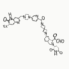 CCc1cc2ncc(CN3CCN(c4ccc(C(=O)N5CC6(C5)CN(c5ccc7c(c5)C(C(=O)C=O)N(C5CCC(=O)NC5=O)C7)C6)nc4)CC3)cc2[nH]c1=O